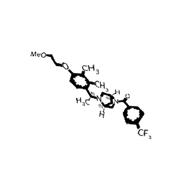 COCCOc1ccc([C@@H](C)N2C[C@@H]3C[C@H]2CN3C(=O)c2ccc(C(F)(F)F)cc2)c(C)c1C